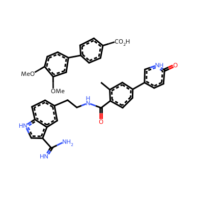 COc1ccc(-c2ccc(C(=O)O)cc2)cc1OC.Cc1cc(-c2ccc(=O)[nH]c2)ccc1C(=O)NCCc1ccc2[nH]cc(C(=N)N)c2c1